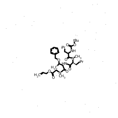 C=CCOC(=O)CN(C)C(=O)[C@@H](NC(=O)[C@H](CC(C)C)N(C)C(=O)C(CC(C)C)NC(=O)OC(C)(C)C)C(C)OCc1ccccc1